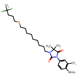 CC(=O)Nc1ccc(N2C(=O)N(CCCCCCCCCSCCCC(F)(F)C(F)(F)F)C(C)(C)C2=O)cc1C(F)(F)F